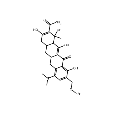 CCCOCc1cc(N(C)C)c2c(c1O)C(=O)C1=C(O)C3C(CC(O)=C(C(N)=O)C3(C)O)CC1C2